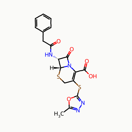 Cc1nnc(SC2=C(C(=O)O)N3C(=O)[C@@H](NC(=O)Cc4ccccc4)[C@H]3SC2)o1